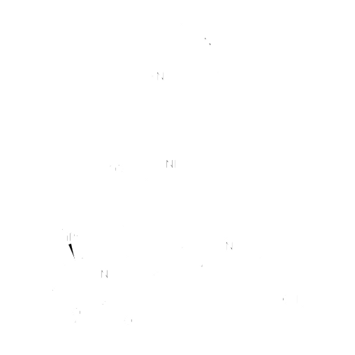 Cc1ccc(-c2cc(C(=O)NCCc3cnccn3)cc(N3C(=O)OC[C@H]3C(C)C)c2)nc1